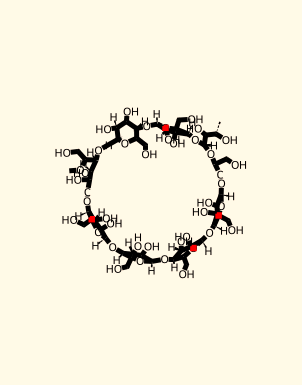 COC(CO)[C@H]1O[C@H]2OC(CO)[C@@H](O[C@H]3OC(CO)[C@@H](O[C@H](C(O)[C@H](C)O)OC(CO)CO[C@H]4OC(CO)[C@@H](O[C@H]5OC(CO)[C@@H](O[C@H]6OC(CO)[C@@H](O[C@H]7OC(CO)[C@@H](OCC(O)[C@H]1O)[C@H](O)C7O)[C@H](O)C6O)[C@H](O)C5O)C(O)C4O)C(O)[C@@H]3O)C(O)[C@@H]2O